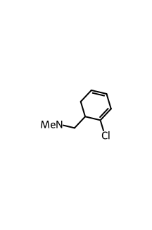 CNCC1CC=CC=C1Cl